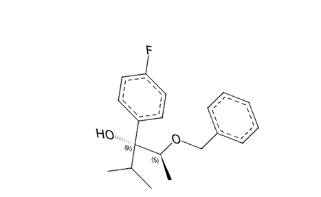 CC(C)[C@@](O)(c1ccc(F)cc1)[C@H](C)OCc1ccccc1